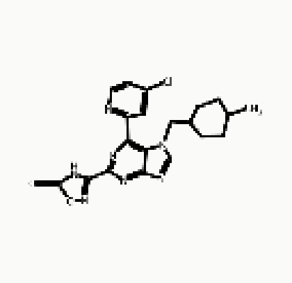 CC1CCC(Cn2cnc3nc(-c4noc(=O)[nH]4)nc(-c4cc(Cl)ccn4)c32)CC1